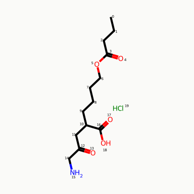 CCCC(=O)OCCCCC(CC(=O)CN)C(=O)O.Cl